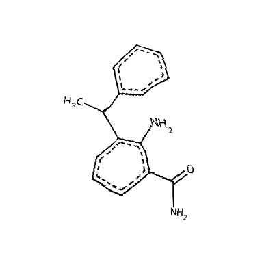 CC(c1ccccc1)c1cccc(C(N)=O)c1N